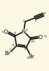 C#CCN1C(=O)C(Br)=C(Br)C1=O